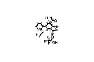 COc1ncccc1-c1cc(C(N)=O)c2[nH]cc(Br)c2c1.O=C(O)C(F)(F)F